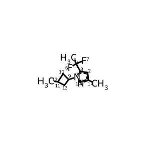 Cc1cc(C(C)(F)F)n(C2CC(C)C2)n1